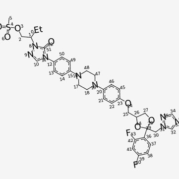 CCC(COS(C)(=O)=O)n1ncn(-c2ccc(N3CCN(c4ccc(OCC5COC(Cn6cncn6)(c6ccc(F)cc6F)O5)cc4)CC3)cc2)c1=O